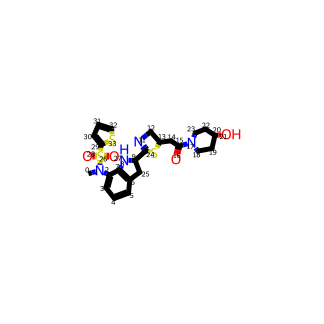 CN(c1cccc2c1NC(C1=NCC(CC(=O)N3CCC(O)CC3)S1)C2)S(=O)(=O)c1cccs1